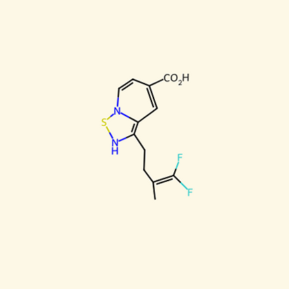 CC(CCC1=C2C=C(C(=O)O)C=CN2SN1)=C(F)F